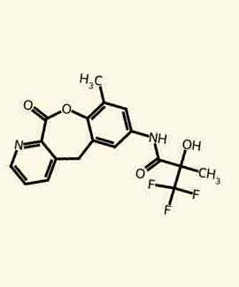 Cc1cc(NC(=O)C(C)(O)C(F)(F)F)cc2c1OC(=O)c1ncccc1C2